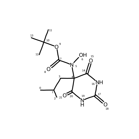 CC(C)CC1(N(O)C(=O)OC(C)(C)C)C(=O)NC(=O)NC1=O